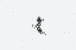 Cc1nc2cc(-c3ccc(C4=NNC(=O)OC4)cc3C(F)(F)F)ccc2s1